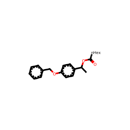 CCCCCCC(=O)OC(C)c1ccc(OCc2ccccc2)cc1